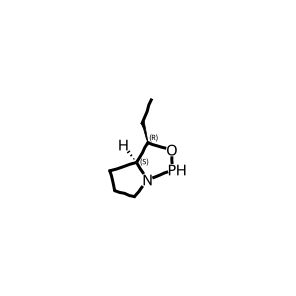 CC[C@H]1OPN2CCC[C@@H]12